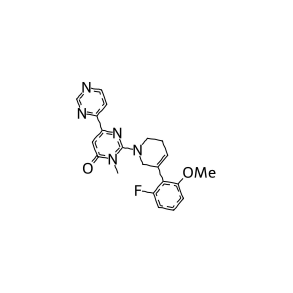 COc1cccc(F)c1C1=CCCN(c2nc(-c3ccncn3)cc(=O)n2C)C1